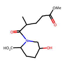 COC(=O)CCC(C)C(=O)N1CC(O)CCC1C(=O)O